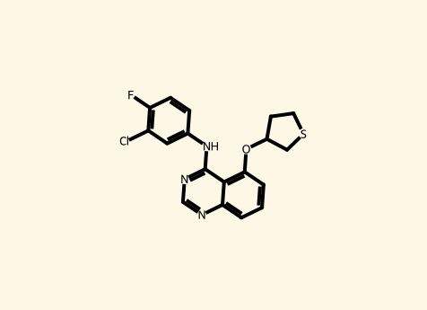 Fc1ccc(Nc2ncnc3cccc(OC4CCSC4)c23)cc1Cl